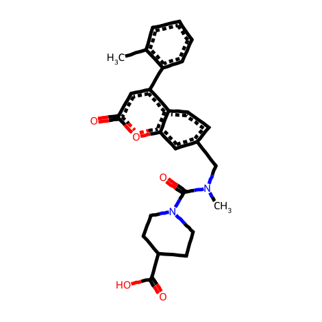 Cc1ccccc1-c1cc(=O)oc2cc(CN(C)C(=O)N3CCC(C(=O)O)CC3)ccc12